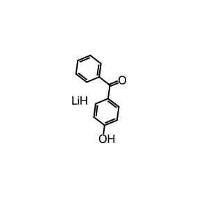 O=C(c1ccccc1)c1ccc(O)cc1.[LiH]